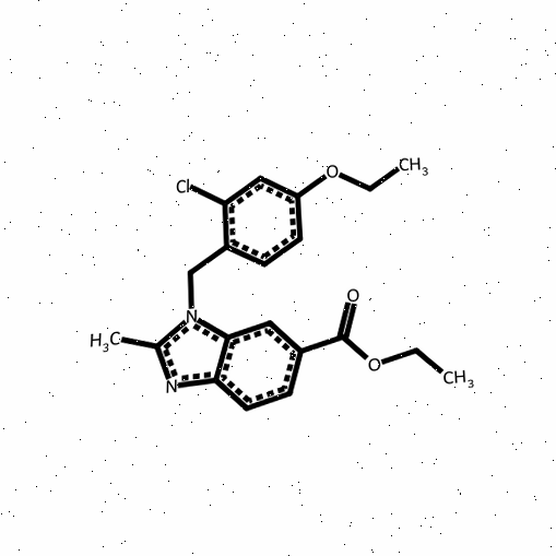 CCOC(=O)c1ccc2nc(C)n(Cc3ccc(OCC)cc3Cl)c2c1